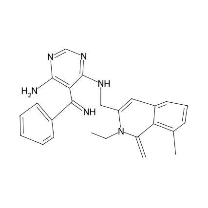 C=C1c2c(C)cccc2C=C(CNc2ncnc(N)c2C(=N)c2ccccc2)N1CC